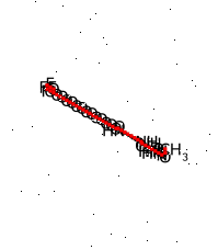 Cc1cc(=O)nc(NC(=O)NCCCCCCNC(=O)NCCCCCCCCCCCCNC(=O)OCCOCCOCCOCCOCCOCCOCCOCCOCCOCCOCCOCCOCCC(=O)Oc2c(F)c(F)cc(F)c2F)[nH]1